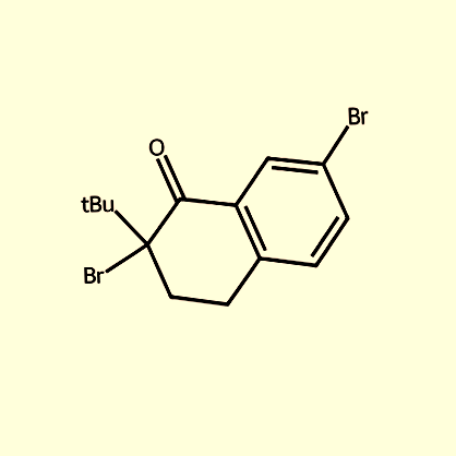 CC(C)(C)C1(Br)CCc2ccc(Br)cc2C1=O